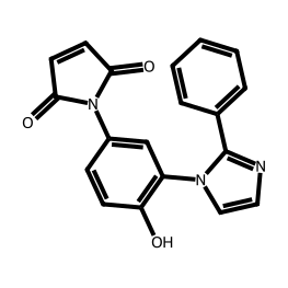 O=C1C=CC(=O)N1c1ccc(O)c(-n2ccnc2-c2ccccc2)c1